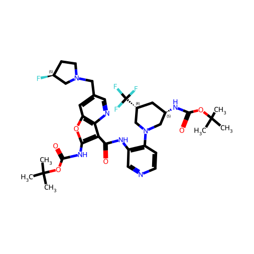 CC(C)(C)OC(=O)Nc1oc2cc(CN3CC[C@H](F)C3)cnc2c1C(=O)Nc1cnccc1N1C[C@@H](NC(=O)OC(C)(C)C)C[C@@H](C(F)(F)F)C1